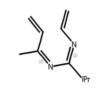 C=C/N=C(\N=C(\C)C=C)C(C)C